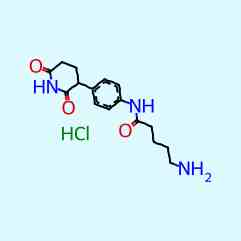 Cl.NCCCCC(=O)Nc1ccc(C2CCC(=O)NC2=O)cc1